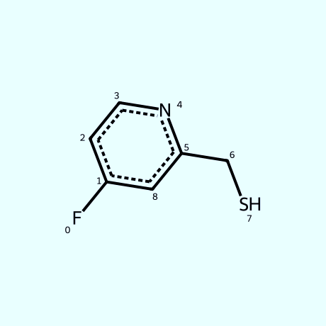 Fc1ccnc(CS)c1